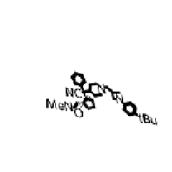 CNC(=O)C[C@H]1CCC[C@@H]1C(C#N)(c1ccccc1)C1CCN(CC2CN(c3ccc(C(C)(C)C)cc3)C2)CC1